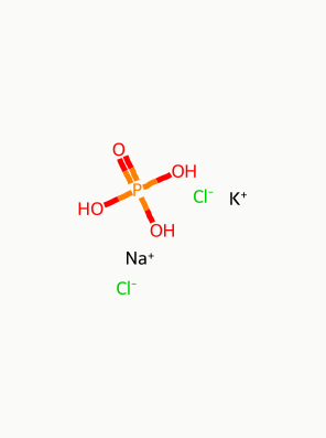 O=P(O)(O)O.[Cl-].[Cl-].[K+].[Na+]